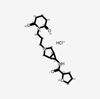 Cl.O=C(NC1C2CN(CCCN3C(=O)CCCC3=O)CC21)C1CCCO1